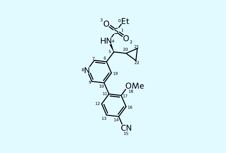 CCS(=O)(=O)N[C@H](c1cncc(-c2ccc(C#N)cc2OC)c1)C1CC1